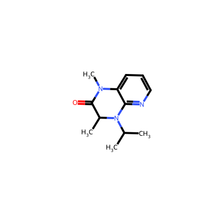 CC(C)N1c2ncccc2N(C)C(=O)C1C